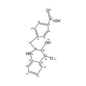 O=C(O)c1ccc(CC2Nc3ccccc3[S+]([O-])C2O)cc1